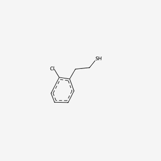 SCCc1ccccc1Cl